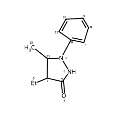 CCC1C(=O)NN(c2ccccc2)C1C